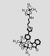 CC(C)(C)OC(=O)NCCCn1cc(-c2ccc(OCC(C)(ON3C(=O)c4ccccc4C3=O)C(=O)OC(C)(C)C)cc2)cn1